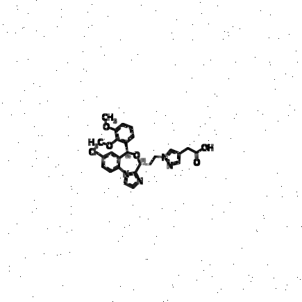 COc1cccc([C@H]2O[C@H](CCn3cc(CC(=O)O)cn3)c3nccn3-c3ccc(Cl)cc32)c1OC